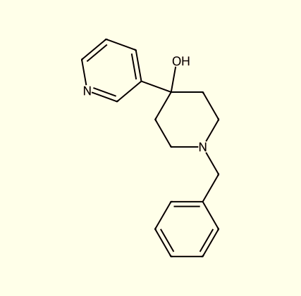 OC1(c2cccnc2)CCN(Cc2ccccc2)CC1